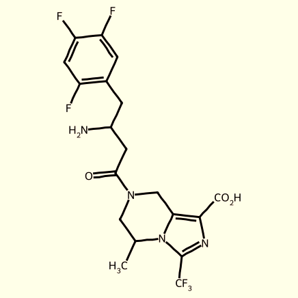 CC1CN(C(=O)CC(N)Cc2cc(F)c(F)cc2F)Cc2c(C(=O)O)nc(C(F)(F)F)n21